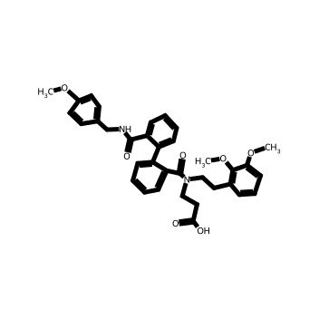 COc1ccc(CNC(=O)c2ccccc2-c2ccccc2C(=O)N(CCC(=O)O)CCc2cccc(OC)c2OC)cc1